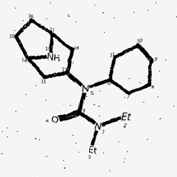 CCN(CC)C(=O)N(C1CCCCC1)C1CC2CCC(C1)N2